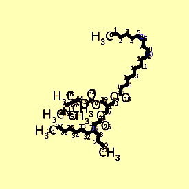 CCCCC/C=C\C/C=C\CCCCCCCC(=O)OCC(COC(=O)/C=C(\CCCC)CCCCCCC)COC(=O)OCC(C)(C)CN(C)C